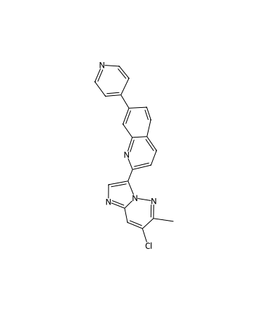 Cc1nn2c(-c3ccc4ccc(-c5ccncc5)cc4n3)cnc2cc1Cl